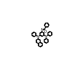 c1ccc(-c2nc3cc(N(c4ccccc4)c4ccc5ccccc5c4)cc(N(c4ccccc4)c4ccccc4)c3o2)cc1